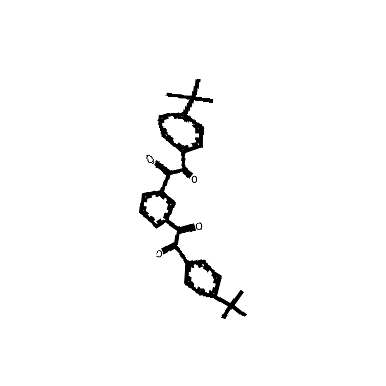 CC(C)(C)c1ccc(C(=O)C(=O)c2cccc(C(=O)C(=O)c3ccc(C(C)(C)C)cc3)c2)cc1